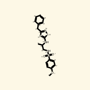 COc1ccc(S(=O)(=O)NCC(C)Nc2nc(Cc3ccccc3)ns2)cc1